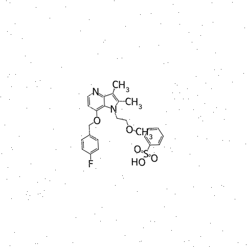 COCCn1c(C)c(C)c2nccc(OCc3ccc(F)cc3)c21.O=S(=O)(O)c1ccccc1